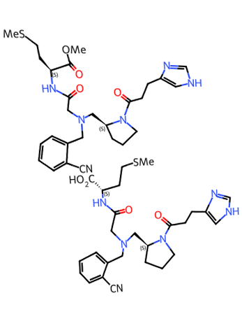 COC(=O)[C@H](CCSC)NC(=O)CN(Cc1ccccc1C#N)C[C@@H]1CCCN1C(=O)CCc1c[nH]cn1.CSCC[C@H](NC(=O)CN(Cc1ccccc1C#N)C[C@@H]1CCCN1C(=O)CCc1c[nH]cn1)C(=O)O